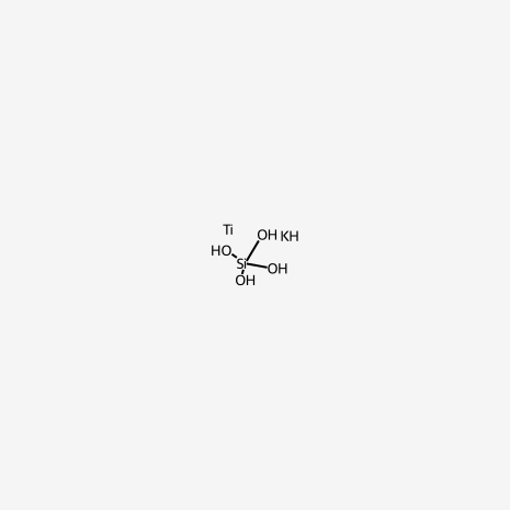 O[Si](O)(O)O.[KH].[Ti]